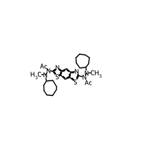 CC(=O)N(c1nc2cc3nc(N(C(C)=O)N(C)C4CCCCCCC4)sc3cc2s1)N(C)C1CCCCCCC1